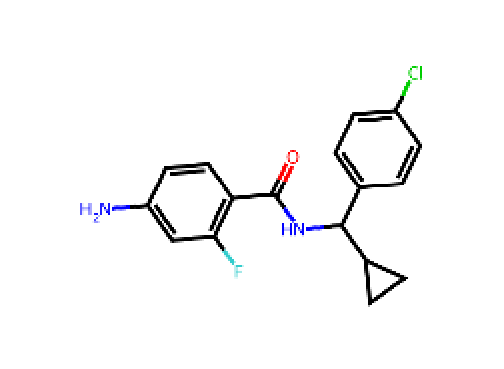 Nc1ccc(C(=O)NC(c2ccc(Cl)cc2)C2CC2)c(F)c1